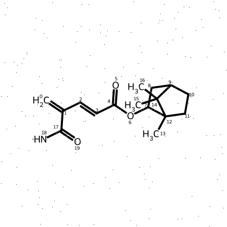 C=C(C=CC(=O)OC1CC2CCC1(C)C2(C)C)C([NH])=O